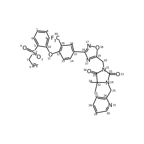 CC(C)CS(=O)(=O)c1ccccc1Oc1ccc(-c2noc(CN3C(=O)N(Cc4ccccn4)C(C)(C)C3=O)n2)cc1C(F)(F)F